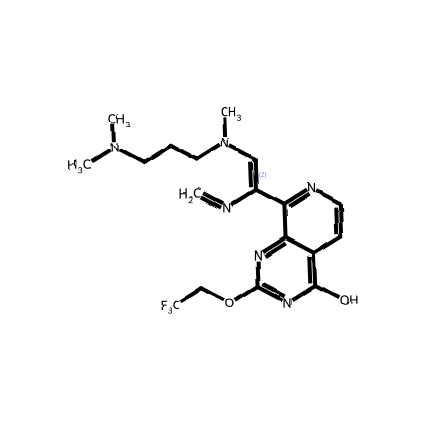 C=N/C(=C\N(C)CCCN(C)C)c1nccc2c(O)nc(OCC(F)(F)F)nc12